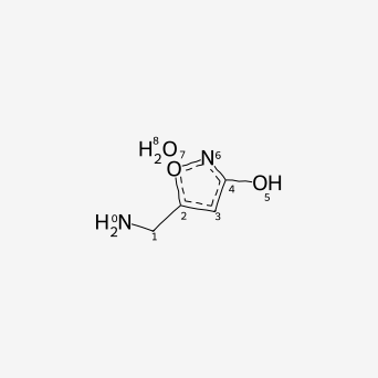 NCc1cc(O)no1.O